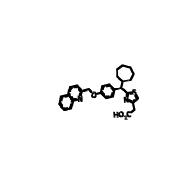 O=C(O)Cc1csc(C(c2ccc(OCc3ccc4ccccc4n3)cc2)C2CCCCCC2)n1